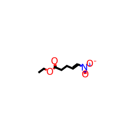 CCOC(=O)CCC=C[N+](=O)[O-]